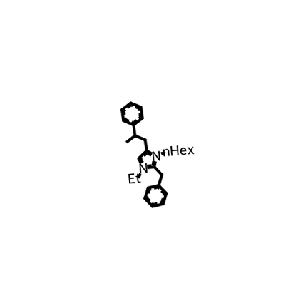 CCCCCC[n+]1c(CC(C)c2ccccc2)cn(CC)c1Cc1ccccc1